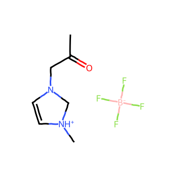 CC(=O)CN1C=C[NH+](C)C1.F[B-](F)(F)F